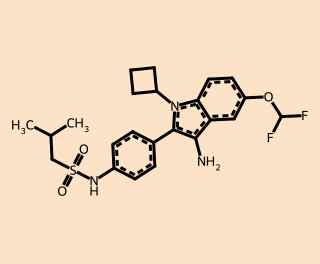 CC(C)CS(=O)(=O)Nc1ccc(-c2c(N)c3cc(OC(F)F)ccc3n2C2CCC2)cc1